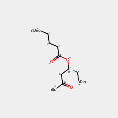 CCCCCCCCCCCCCC(=O)O[C@H](CCCCCCCCCCC)CC(=O)C(C)CC